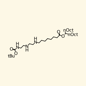 CCCCCCCCC(CCCCCCCC)OC(=O)CCCCCCCNCCNCCNC(=O)OC(C)(C)C